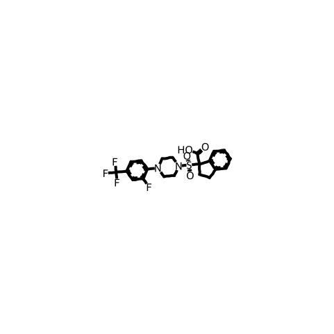 O=C(O)C1(S(=O)(=O)N2CCN(c3ccc(C(F)(F)F)cc3F)CC2)CCc2ccccc21